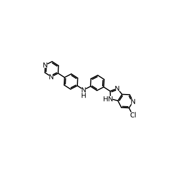 Clc1cc2[nH]c(-c3cccc(Nc4ccc(-c5ccncn5)cc4)c3)nc2cn1